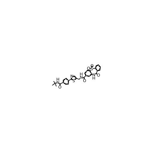 CC(C)(C)NC(=O)c1ccc(-c2ncc(CNC(=O)c3ccc4c(c3)NC(=O)c3ccccc3S4(=O)=O)s2)cc1